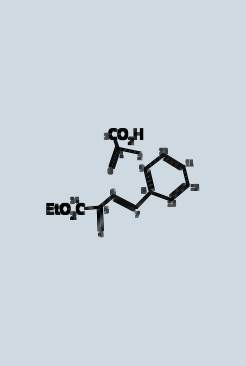 C=C(C)C(=O)O.C=C(C=Cc1ccccc1)C(=O)OCC